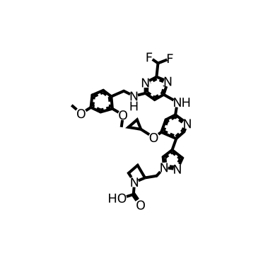 COc1ccc(CNc2cc(Nc3cc(OC4CC4)c(-c4cnn(CC5CCN5C(=O)O)c4)cn3)nc(C(F)F)n2)c(OC)c1